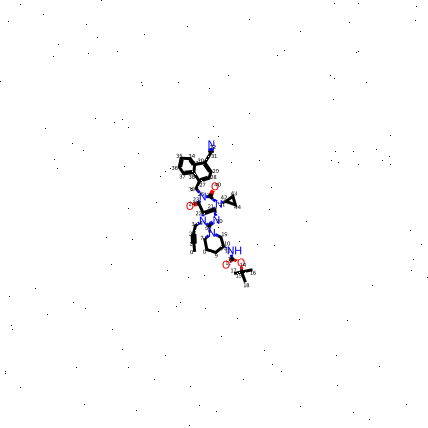 CC#CCn1c(N2CCC[C@@H](NC(=O)OC(C)(C)C)C2)nc2c1c(=O)n(Cc1ccc(C#N)c3ccccc13)c(=O)n2C1CC1